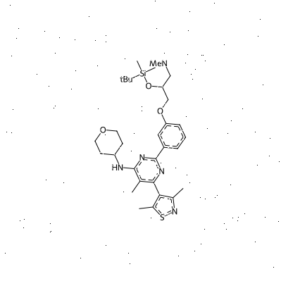 CNCC(COc1cccc(-c2nc(NC3CCOCC3)c(C)c(-c3c(C)nsc3C)n2)c1)O[Si](C)(C)C(C)(C)C